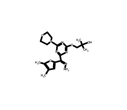 Cc1cc(C(=NN)c2nc(OCC(C)(C)O)nc(N3CCOCC3)n2)oc1C